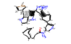 O=C(Cc1ccccc1)Nc1cncc(-c2ccc3[nH]nc(-c4cc5c(-c6ccsc6)nccc5[nH]4)c3c2)c1